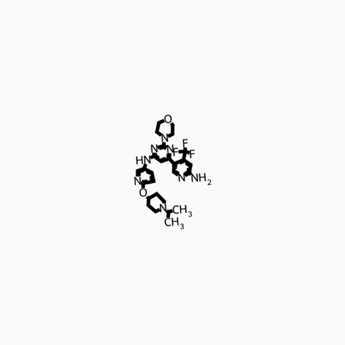 CC(C)N1CCC(Oc2ccc(Nc3cc(-c4cnc(N)cc4C(F)(F)F)nc(N4CCOCC4)n3)cn2)CC1